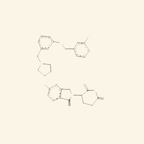 Nc1cccc(COc2cccc(CN3CC[C@H](Oc4ccc5c(c4)CN(C4CCC(=O)NC4=O)C5=O)C3)c2)c1